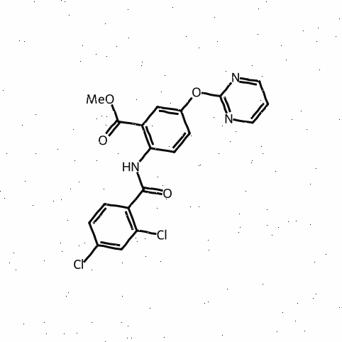 COC(=O)c1cc(Oc2ncccn2)ccc1NC(=O)c1ccc(Cl)cc1Cl